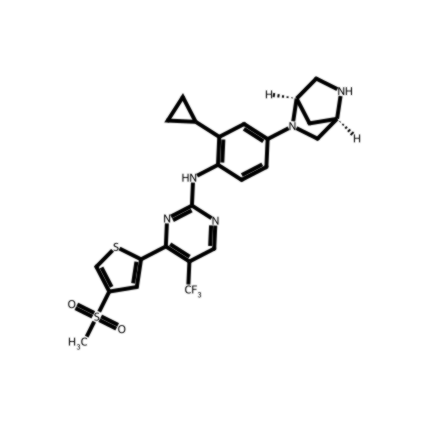 CS(=O)(=O)c1csc(-c2nc(Nc3ccc(N4C[C@H]5C[C@@H]4CN5)cc3C3CC3)ncc2C(F)(F)F)c1